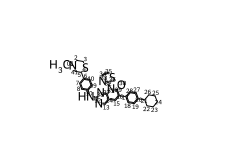 CN1CCSC(c2ccc(Nc3ncc4cc(-c5ccc(C6CCCCC6)cc5)c(=O)n(-c5nccs5)c4n3)cc2)C1